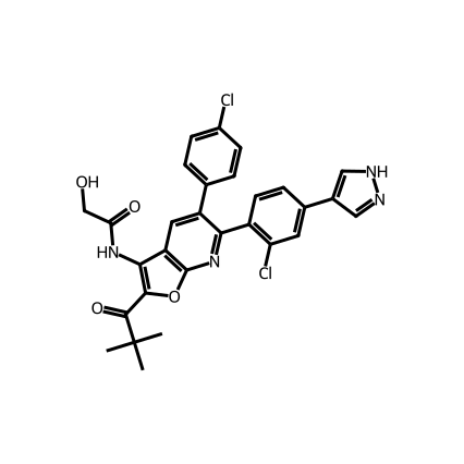 CC(C)(C)C(=O)c1oc2nc(-c3ccc(-c4cn[nH]c4)cc3Cl)c(-c3ccc(Cl)cc3)cc2c1NC(=O)CO